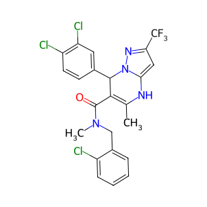 CC1=C(C(=O)N(C)Cc2ccccc2Cl)C(c2ccc(Cl)c(Cl)c2)n2nc(C(F)(F)F)cc2N1